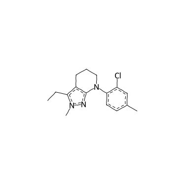 CCc1c2c(nn1C)N(c1ccc(C)cc1Cl)CCC2